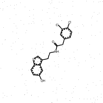 O=C(Cc1ccc(Cl)c(Cl)c1)NCCc1csc2ccc(O)cc12